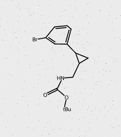 CC(C)(C)OC(=O)NCC1CC1c1cccc(Br)c1